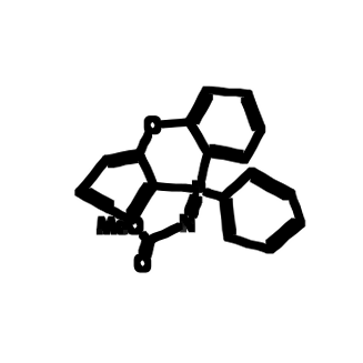 COC(=O)N=P1(c2ccccc2)c2ccccc2Oc2ccccc21